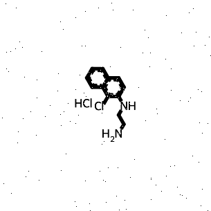 Cl.NCCNc1ccc2ccccc2c1Cl